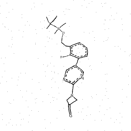 CC(C)(C)[Si](C)(C)OCc1cccc(-c2cnc(N3CC(=O)C3)nc2)c1F